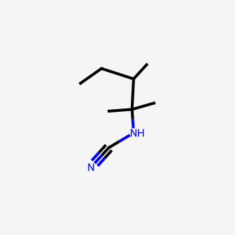 CCC(C)C(C)(C)NC#N